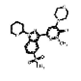 Cn1nc(-c2nn(C3CCCCO3)c3ccc(S(C)(=O)=O)cc23)cc(N2CCOCC2)c1=O